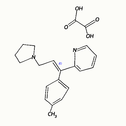 Cc1ccc(/C(=C\CN2CCCC2)c2ccccn2)cc1.O=C(O)C(=O)O